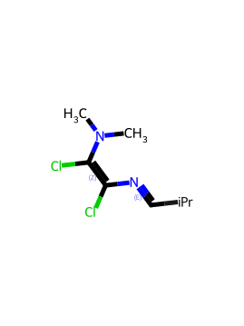 CC(C)/C=N/C(Cl)=C(/Cl)N(C)C